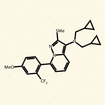 COc1ccc(-c2cccc3c(N(CC4CC4)CC4CC4)c(SC)nn23)c(C(F)(F)F)c1